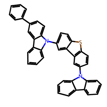 c1ccc(-c2ccc3c(c2)c2ccccc2n3-c2ccc3sc4ccc(-n5c6ccccc6c6ccccc65)cc4c3c2)cc1